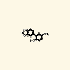 Nc1ccc(O)c(-c2ccc3c(c2)OCO3)c1